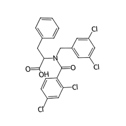 O=C(O)C(Cc1ccccc1)N(Cc1cc(Cl)cc(Cl)c1)C(=O)c1ccc(Cl)cc1Cl